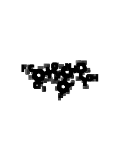 Cc1cc(F)ccc1-c1cc(N2CCCC2CC(C)O)ncc1N(C)C(=O)C(C)(C)c1cc(C(F)(F)F)cc(C(F)(F)F)c1